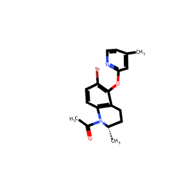 CC(=O)N1c2ccc(Br)c(Oc3cc(C)ccn3)c2CC[C@@H]1C